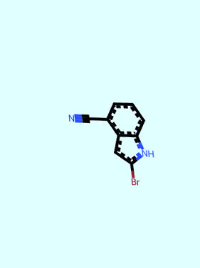 N#Cc1cccc2[nH]c(Br)cc12